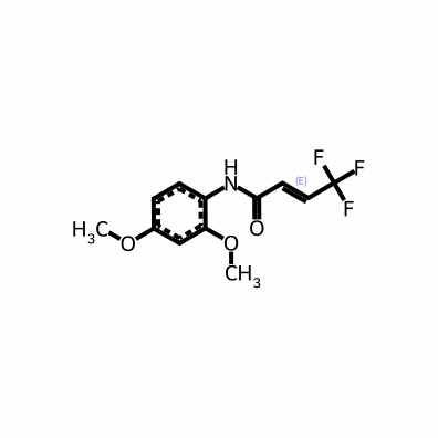 COc1ccc(NC(=O)/C=C/C(F)(F)F)c(OC)c1